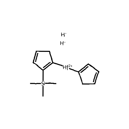 C[Si](C)(C)C1=[C]([Hf+2][C]2=CC=CC2)CC=C1.[H-].[H-]